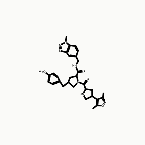 COc1ccc(CC2CC(C(=O)NCc3ccc4c(c3)nnn4C)N(C(=O)C3CC(c4c(C)noc4C)CN3)C2)cc1